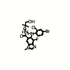 Cn1cnc2c(F)c(Nc3ccc(Br)cc3Cl)c(C(=O)NOC(C)(C)CO)cc21